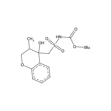 CC1COc2ccccc2C1(O)CS(=O)(=O)NC(=O)OC(C)(C)C